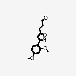 COc1ccc(-c2cc(CCC=O)on2)c(OC)c1